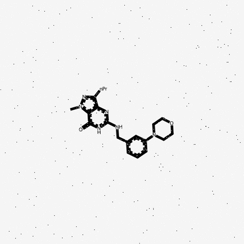 CCCc1nn(C)c2c(=O)[nH]c(NCc3cccc(N4CCOCC4)c3)nc12